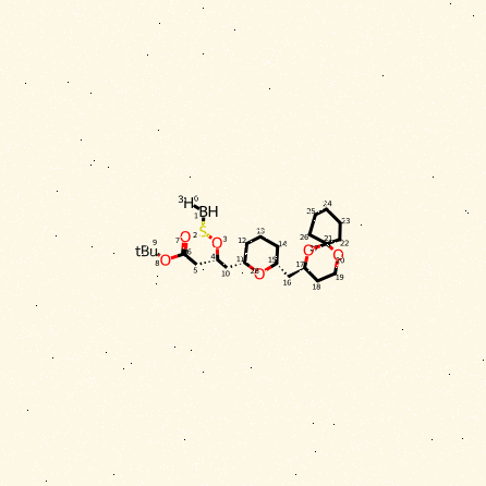 [3H]BSO[C@@H](CC(=O)OC(C)(C)C)C[C@@H]1CCC[C@H](C[C@@H]2CCOC3(CCCCC3)O2)O1